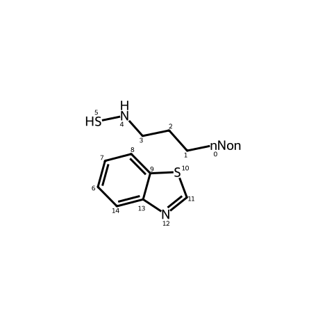 CCCCCCCCCCCCNS.c1ccc2scnc2c1